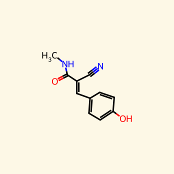 CNC(=O)/C(C#N)=C/c1ccc(O)cc1